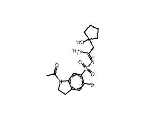 CC(=O)N1CCc2cc(Br)c(S(=O)(=O)/N=C(\N)CC3(O)CCCC3)cc21